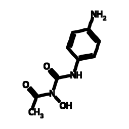 CC(=O)N(O)C(=O)Nc1ccc(N)cc1